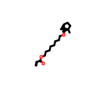 C=CC(=O)OCCCCCCCCOC1CC2CCC1(C)C2(C)C